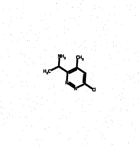 Cc1cc(Cl)nnc1C(C)N